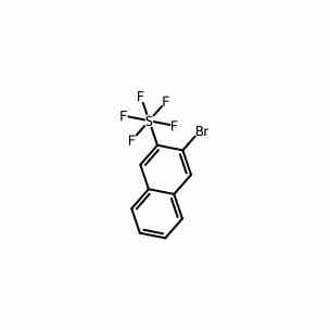 FS(F)(F)(F)(F)c1cc2ccccc2cc1Br